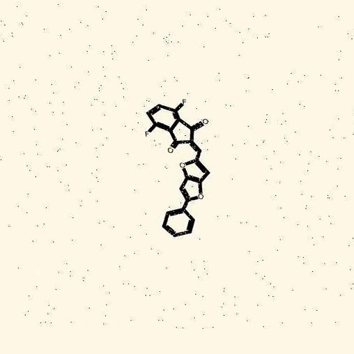 O=C1C(=Cc2cc3oc(-c4ccccc4)cc3o2)C(=O)c2c(F)ccc(F)c21